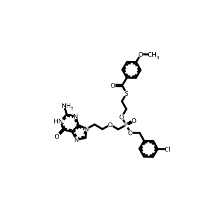 COc1ccc(C(=O)SCCOP(=O)(COCCn2cnc3c(=O)[nH]c(N)nc32)OCc2cccc(Cl)c2)cc1